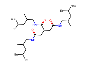 CCCCC(CC)CC(C)CNC(=O)CC(CC(=O)NCC(C)CC(CC)CCCC)C(=O)NCC(C)CC(CC)CCCC